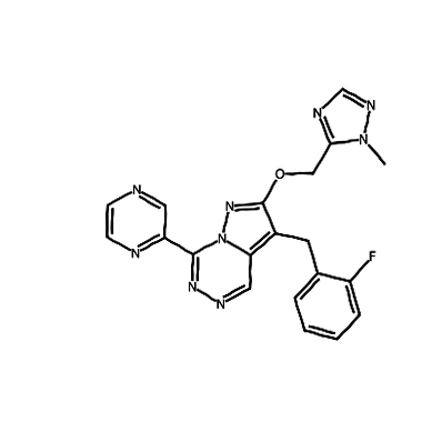 Cn1ncnc1COc1nn2c(-c3cnccn3)nncc2c1Cc1ccccc1F